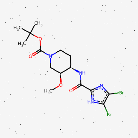 CO[C@H]1CN(C(=O)OC(C)(C)C)CC[C@H]1NC(=O)c1nc(Br)c(Br)[nH]1